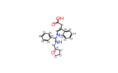 O=C(O)Cc1cn(C(NCC2CCCO2)c2ccccc2)c2ccccc12